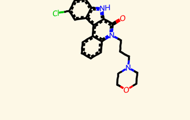 O=c1c2[nH]c3ccc(Cl)cc3c2c2ccccc2n1CCCN1CCOCC1